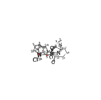 C=C[C@H]1CN(Cc2ccccn2)C(=O)C2CCC[C@@H]1N2S(=O)(=O)c1cccc(Cl)c1